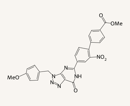 COC(=O)c1ccc(-c2ccc(-c3nc4c(nnn4Cc4ccc(OC)cc4)c(=O)[nH]3)cc2[N+](=O)[O-])cc1